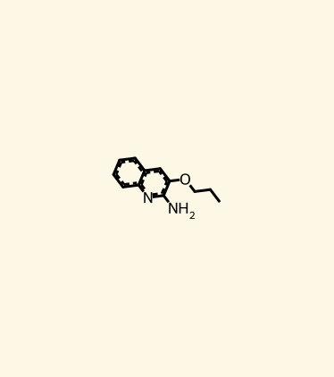 CCCOc1cc2ccccc2nc1N